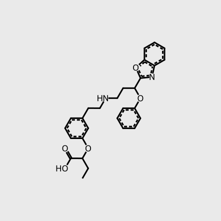 CCC(Oc1cccc(CCNCCC(Oc2ccccc2)c2nc3ccccc3o2)c1)C(=O)O